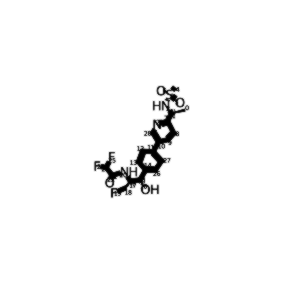 C[C@H](NS(C)(=O)=O)c1ccc(-c2ccc([C@H](O)[C@@H](CF)NC(=O)C(F)F)cc2)cn1